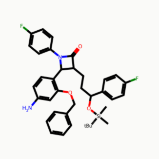 CC(C)(C)[Si](C)(C)OC(CCC1C(=O)N(c2ccc(F)cc2)C1c1ccc(N)cc1OCc1ccccc1)c1ccc(F)cc1